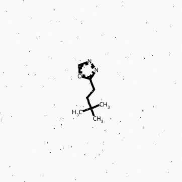 CC(C)(C)CCc1nnco1